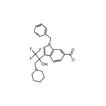 O=[N+]([O-])c1ccc2c(C(O)(CN3CCCCC3)C(F)(F)F)cn(Cc3ccccc3)c2c1